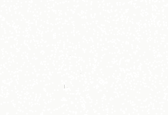 CCC(OC)OP(N)O